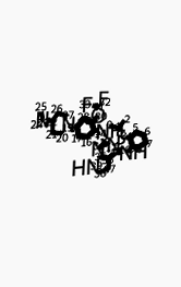 CC(C)Sc1ccccc1Nc1nc(Nc2ccc(N3CCC(N(C)C)CC3)cc2OC(F)F)nc2c1CCN2